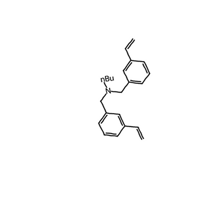 C=Cc1cccc(CN(CCCC)Cc2cccc(C=C)c2)c1